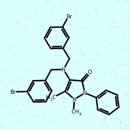 Cc1c(N(Cc2cccc(Br)c2)Cc2cccc(Br)c2)c(=O)n(-c2ccccc2)n1C